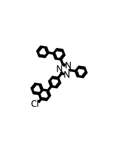 Clc1ccc(-c2ccc(-c3nc(-c4ccccc4)nc(-c4cccc(-c5ccccc5)c4)n3)cc2)c2ccccc12